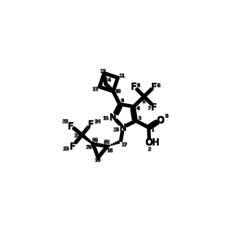 O=C(O)c1c(C(F)(F)F)c(C23CC(C2)C3)nn1C[C@@H]1C[C@H]1C(F)(F)F